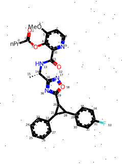 CCCC(=O)Oc1c(OC)ccnc1C(=O)N[C@@H](C)c1noc(C2C(c3ccccc3)C2c2ccc(F)cc2)n1